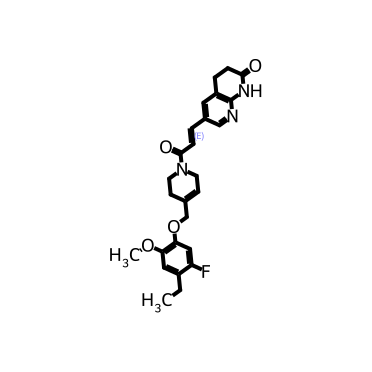 CCc1cc(OC)c(OCC2=CCN(C(=O)/C=C/c3cnc4c(c3)CCC(=O)N4)CC2)cc1F